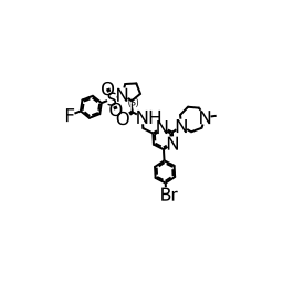 CN1CCCN(c2nc(CNC(=O)[C@@H]3CCCN3S(=O)(=O)c3ccc(F)cc3)cc(-c3ccc(Br)cc3)n2)CC1